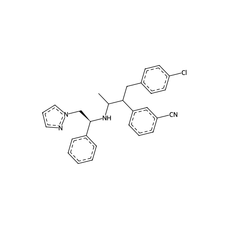 CC(N[C@H](Cn1cccn1)c1ccccc1)C(Cc1ccc(Cl)cc1)c1cccc(C#N)c1